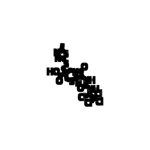 Cc1nnc(SCC2(C(=O)O)CS[C@@H]3C(NC(=O)NC(Cl)C(Cl)(Cl)Cl)C(=O)N3C2)s1